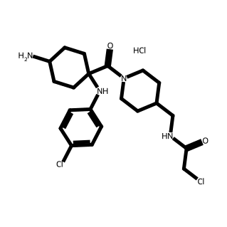 Cl.NC1CCC(Nc2ccc(Cl)cc2)(C(=O)N2CCC(CNC(=O)CCl)CC2)CC1